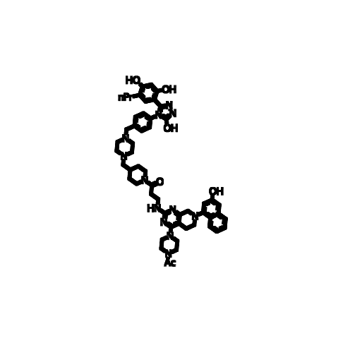 CCCc1cc(-c2nnc(O)n2-c2ccc(CN3CCN(CC4CCN(C(=O)CCNc5nc6c(c(N7CCN(C(C)=O)CC7)n5)CCN(c5cc(O)cc7ccccc57)C6)CC4)CC3)cc2)c(O)cc1O